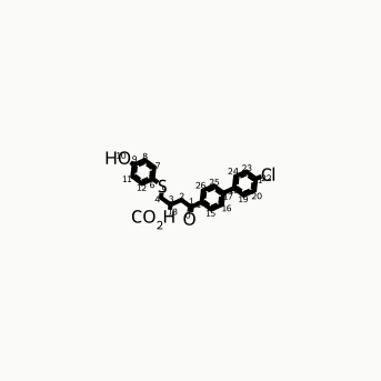 O=C(CC(CSc1ccc(O)cc1)C(=O)O)c1ccc(-c2ccc(Cl)cc2)cc1